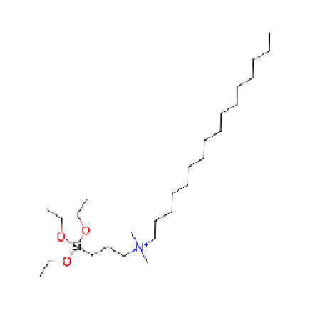 CCCCCCCCCCCCCCCC[N+](C)(C)CCC[Si](OCC)(OCC)OCC